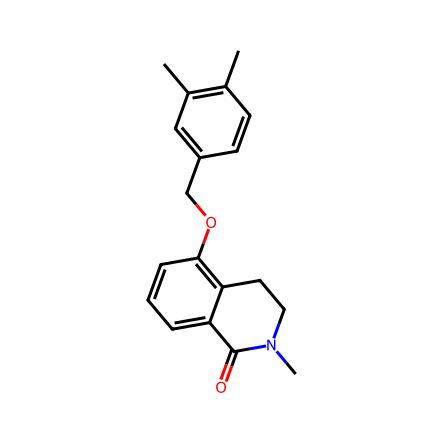 Cc1ccc(COc2cccc3c2CCN(C)C3=O)cc1C